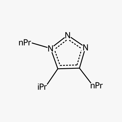 CCCc1nnn(CCC)c1C(C)C